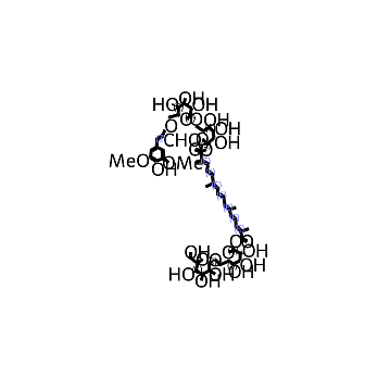 COc1cc(/C=C(\C=O)COCC2O[C@@H](OCC3O[C@@H](OC(=O)/C(C)=C/C=C/C(C)=C/C=C/C=C(C)/C=C/C=C(\C)C(=O)O[C@@H]4OC(CO[C@@H]5OC(CO)[C@@H](O)C(O)C5O)[C@@H](O)C(O)C4O)C(O)C(O)[C@@H]3O)C(O)C(O)[C@@H]2O)cc(OC)c1O